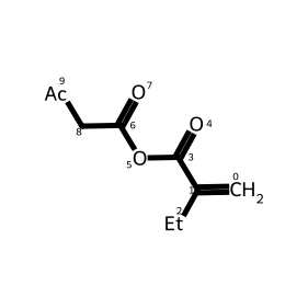 C=C(CC)C(=O)OC(=O)CC(C)=O